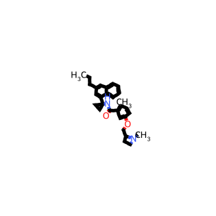 CCCc1cc(C2(NC(=O)c3cc(OCC4CCN4C)ccc3C)CC2)c2ccccc2c1